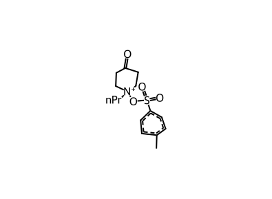 CCC[N+]1(OS(=O)(=O)c2ccc(C)cc2)CCC(=O)CC1